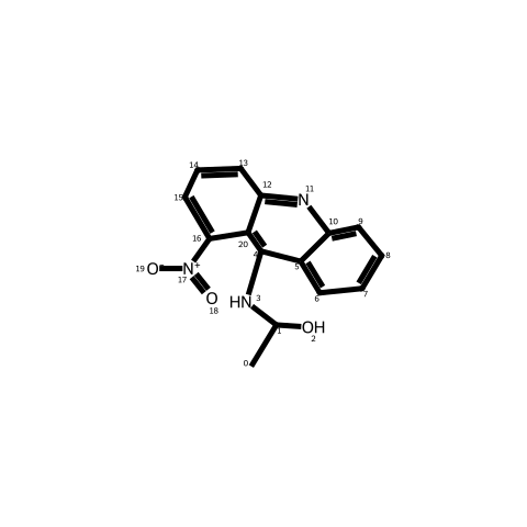 CC(O)Nc1c2ccccc2nc2cccc([N+](=O)[O-])c12